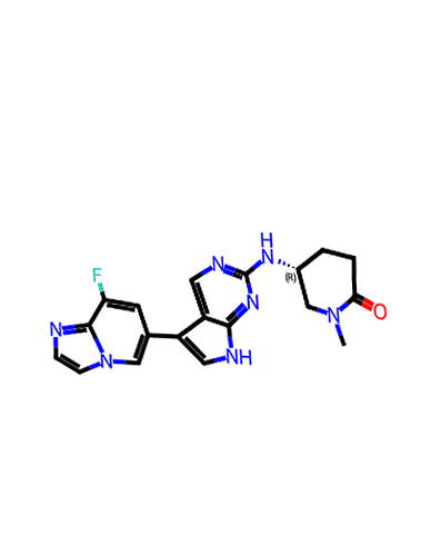 CN1C[C@H](Nc2ncc3c(-c4cc(F)c5nccn5c4)c[nH]c3n2)CCC1=O